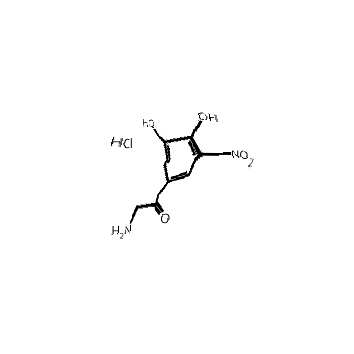 Cl.NCC(=O)c1cc(O)c(O)c([N+](=O)[O-])c1